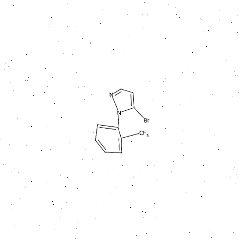 FC(F)(F)c1ccccc1-n1nccc1Br